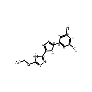 CC(=O)CSc1nnc(-c2ccc(-c3cc(Cl)cc(Cl)c3)s2)[nH]1